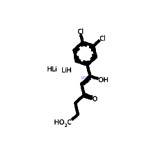 O=C(O)CCC(=O)/C=C(\O)c1ccc(Cl)c(Cl)c1.[LiH].[LiH]